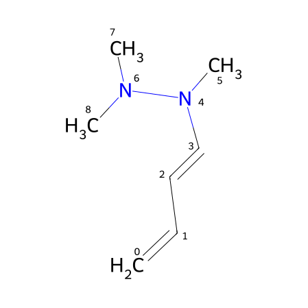 C=C/C=C/N(C)N(C)C